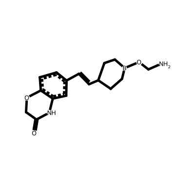 NCOB1CCC(C=Cc2ccc3c(c2)NC(=O)CO3)CC1